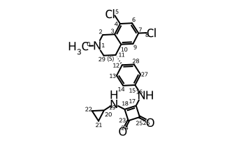 CN1Cc2c(Cl)cc(Cl)cc2[C@H](c2ccc(Nc3c(NC4CC4)c(=O)c3=O)cc2)C1